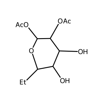 CCC1OC(OC(C)=O)C(OC(C)=O)C(O)C1O